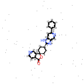 O=C1O[C@]2(CC[C@H](c3nc4cnc(-c5ccccc5)cc4[nH]3)CC2)c2cnccc21